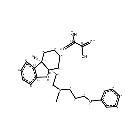 CN(CCCOc1ccccc1)CC[C@@]12CCCC[C@@H]1c1ccccc1O2.O=C(O)C(=O)O